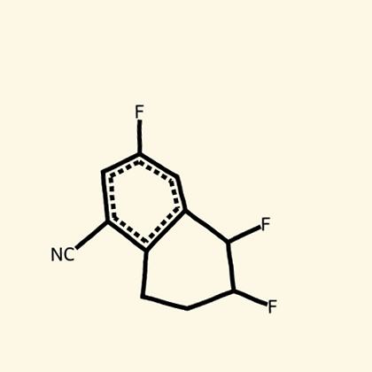 N#Cc1cc(F)cc2c1CCC(F)C2F